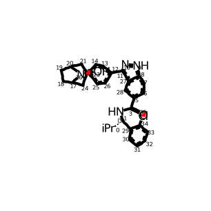 CC(C)[C@H](NC(=O)c1ccc2[nH]nc(-c3ccc(N4C5CCC4CC(O)C5)cc3)c2c1)c1ccccc1Cl